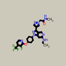 CCNc1cc2c(cn1)c(-c1cnn(CC(=O)NC)c1)nn2C1CCC(Oc2nccc(C(F)(F)F)c2F)CC1